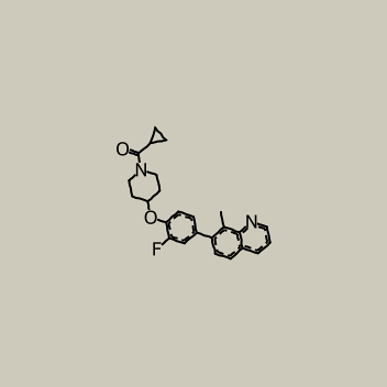 Cc1c(-c2ccc(OC3CCN(C(=O)C4CC4)CC3)c(F)c2)ccc2cccnc12